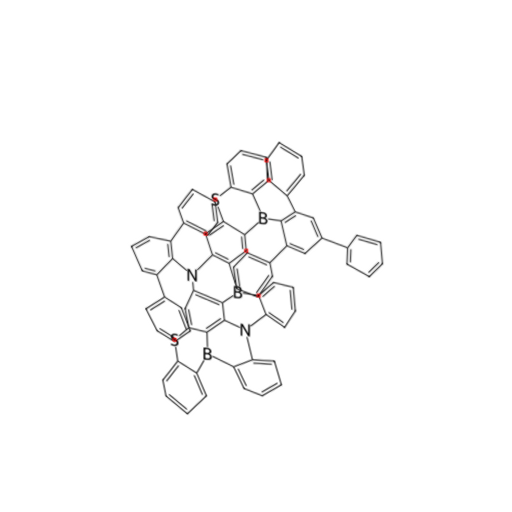 c1ccc(-c2cc(-c3ccccc3)c(B3c4ccccc4Sc4cc5c(cc43)B3c4ccccc4N4c6ccccc6B6c7ccccc7Sc7cc(c3c4c76)N5c3c(-c4ccccc4)cccc3-c3ccccc3)c(-c3ccccc3)c2)cc1